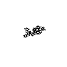 c1ccc(-c2nc(-c3ccccc3)nc(-c3cccc(-n4c5cccc6c5c5c7c(c(-c8ccccc8)oc7ccc54)-c4ccccc4-6)c3)n2)cc1